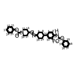 O=C(Nc1ccc(C2CCC(=NOC3CCN(C(=O)Oc4ccccc4)CC3)CC2)cc1F)Oc1ccccc1